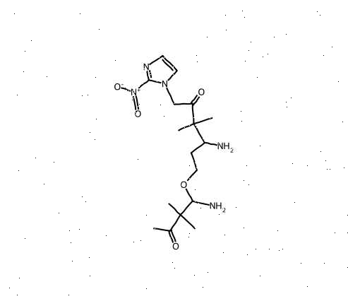 CC(=O)C(C)(C)C(N)OCCC(N)C(C)(C)C(=O)Cn1ccnc1[N+](=O)[O-]